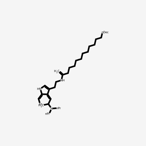 C=C(CCCCCCCCCCCCCCCCCCCCC)NCCc1c[nH]c(=C/CC)/c1=C\C(C)N(CCC)CCC